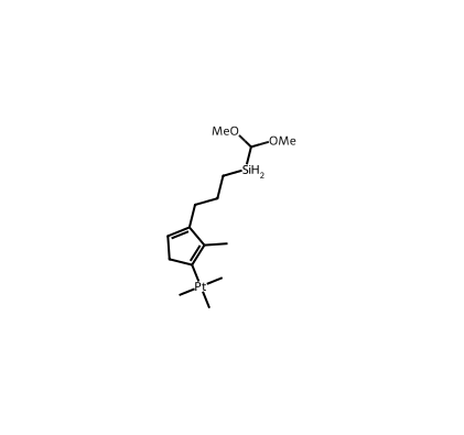 COC(OC)[SiH2]CCCC1=CC[C]([Pt]([CH3])([CH3])[CH3])=C1C